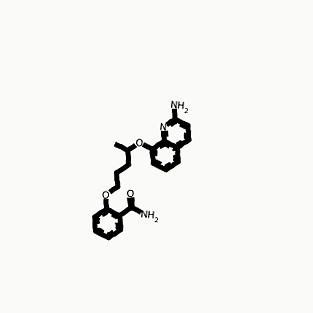 CC(CCCOc1ccccc1C(N)=O)Oc1cccc2ccc(N)nc12